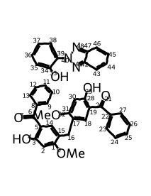 COc1cc(O)c(C(=O)c2ccccc2)cc1Cc1cc(C(=O)c2ccccc2)c(O)cc1OC.Oc1ccccc1-n1nc2ccccc2n1